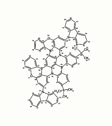 CC(C)(C)c1ccc2c(c1)N1c3cc(-n4c5ccccc5c5ccccc54)cc4c3B(c3ccccc3O4)c3cc4c5c(c31)B2c1ccc(C(C)(C)C)cc1N5c1cc(-n2c3ccccc3c3ccccc32)cc2c1B4c1ccccc1O2